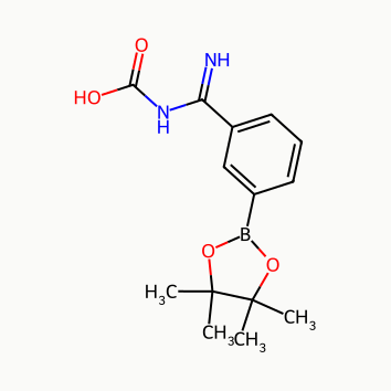 CC1(C)OB(c2cccc(C(=N)NC(=O)O)c2)OC1(C)C